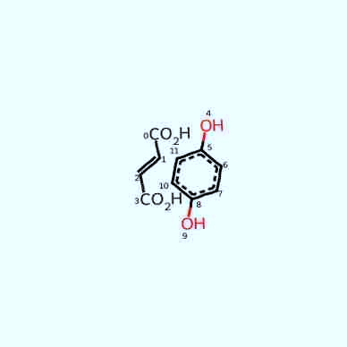 O=C(O)C=CC(=O)O.Oc1ccc(O)cc1